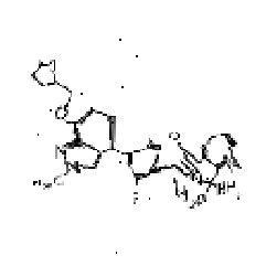 BC1(B)c2ncccc2C(=O)N1Cc1ccc(-c2ccc(OCC3CCCO3)c3nn(C)cc23)cc1F